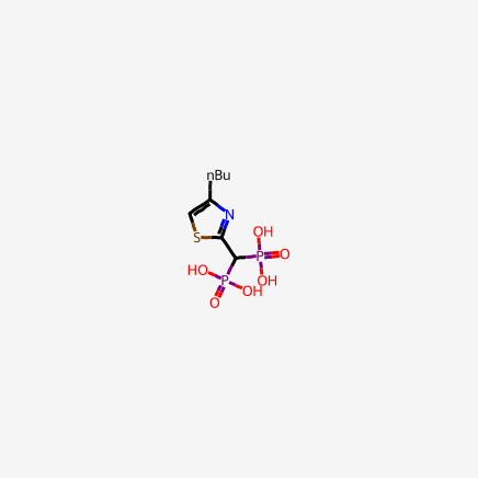 CCCCc1csc(C(P(=O)(O)O)P(=O)(O)O)n1